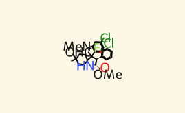 CNc1cc(Cl)ccc1C1(C=O)[C@@H](c2cccc(Cl)c2F)[C@H](C(=O)OC)NC12CCC(C)(C)CC2